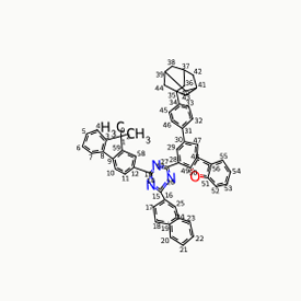 CC1(C)c2ccccc2-c2ccc(-c3nc(-c4ccc5ccccc5c4)nc(-c4cc(-c5ccc(C67CC8CC(CC(C8)C6)C7)cc5)cc5c4oc4ccccc45)n3)cc21